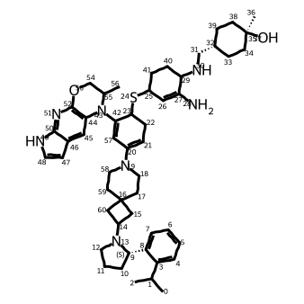 CC(C)c1ccccc1[C@@H]1CCCN1C1CC2(CCN(C3=CCC(SC4C=C(N)C(NC[C@H]5CC[C@](C)(O)CC5)CC4)C(N4c5cc6cc[nH]c6nc5OCC4C)=C3)CC2)C1